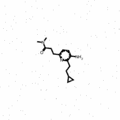 CN(C)C(=O)CCc1ccc(N)c(CCC2CC2)n1